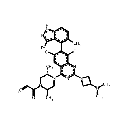 C=CC(=O)N1C[C@H](C)N(c2nc(N3CC(N(C)C)C3)nc3c(F)c(-c4c(C)ccc5[nH]nc(CC)c45)c(Cl)cc23)C[C@H]1C